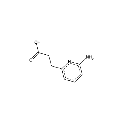 Nc1cccc(CCC(=O)O)n1